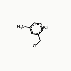 Cc1cncc(CCl)c1.Cl